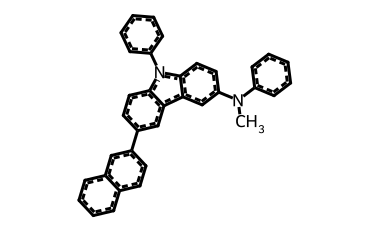 CN(c1ccccc1)c1ccc2c(c1)c1cc(-c3ccc4ccccc4c3)ccc1n2-c1ccccc1